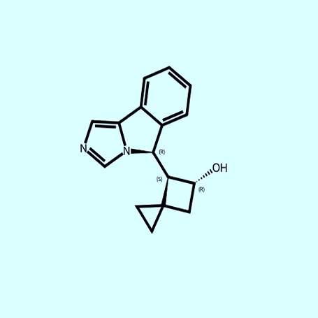 O[C@@H]1CC2(CC2)[C@H]1[C@@H]1c2ccccc2-c2cncn21